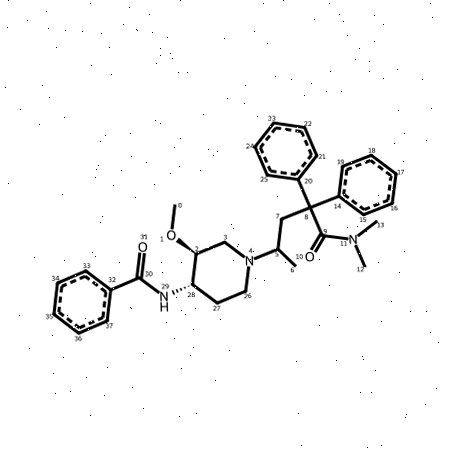 CO[C@H]1CN(C(C)CC(C(=O)N(C)C)(c2ccccc2)c2ccccc2)CC[C@@H]1NC(=O)c1ccccc1